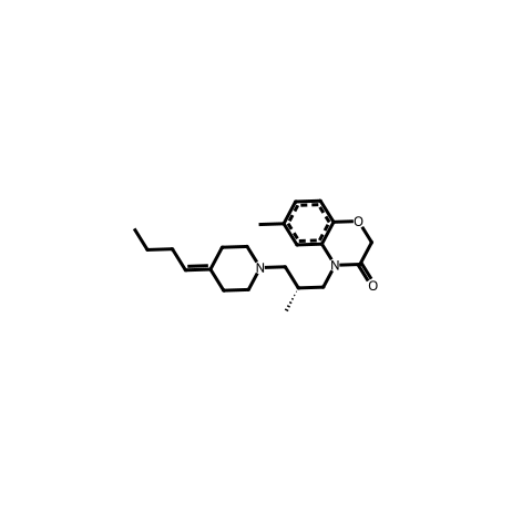 CCCC=C1CCN(C[C@@H](C)CN2C(=O)COc3ccc(C)cc32)CC1